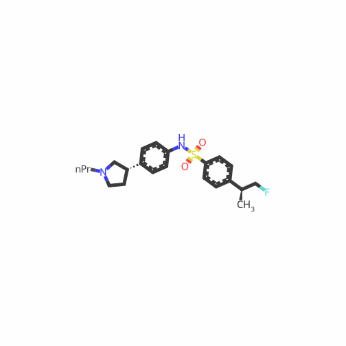 CCCN1CC[C@@H](c2ccc(NS(=O)(=O)c3ccc([C@H](C)CF)cc3)cc2)C1